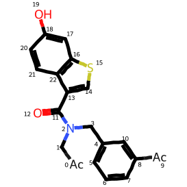 CC(=O)CN(Cc1cccc(C(C)=O)c1)C(=O)c1csc2cc(O)ccc12